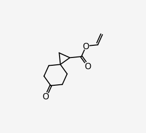 C=COC(=O)C1CC12CCC(=O)CC2